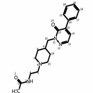 CC(=O)NCCN1CCC(Cn2nccc(-c3ccccc3)c2=O)CC1